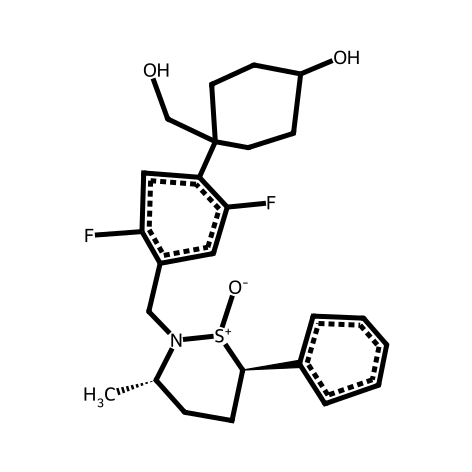 C[C@H]1CC[C@H](c2ccccc2)[S+]([O-])N1Cc1cc(F)c(C2(CO)CCC(O)CC2)cc1F